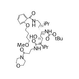 COCCCCOc1ccccc1C(=O)NC[C@@H](C[C@H](NC(=O)OC(C)(C)C)[C@@H](O)C[C@H](C(=O)NCCC(=O)N1CCOCC1)C(C)C)C(C)C